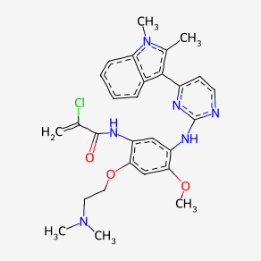 C=C(Cl)C(=O)Nc1cc(Nc2nccc(-c3c(C)n(C)c4ccccc34)n2)c(OC)cc1OCCN(C)C